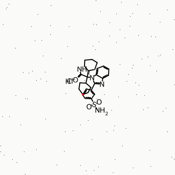 NC(=O)C(C1CCCCC1)(C1CCCCC1)n1c(-c2cccc(S(N)(=O)=O)c2)nc2ccccc21.[Cl-].[H+]